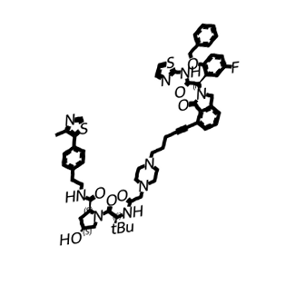 Cc1ncsc1-c1ccc(CCNC(=O)[C@@H]2C[C@H](O)CN2C(=O)[C@@H](NC(=O)CN2CCN(CCCC#Cc3cccc4c3C(=O)N([C@@H](C(=O)Nc3nccs3)c3cc(F)ccc3OCc3ccccc3)C4)CC2)C(C)(C)C)cc1